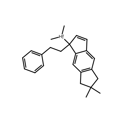 [CH3][Hf]([CH3])[C]1(CCc2ccccc2)C=Cc2cc3c(cc21)CC(C)(C)C3